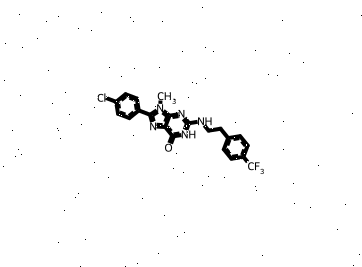 Cn1c(-c2ccc(Cl)cc2)nc2c(=O)[nH]c(NCCc3ccc(C(F)(F)F)cc3)nc21